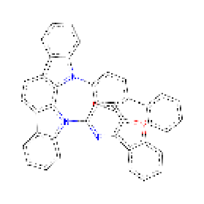 c1ccc(-c2ccc(-n3c4ccccc4c4ccc5c6ccccc6n(-c6ccc7oc8ccccc8c7n6)c5c43)cc2)cc1